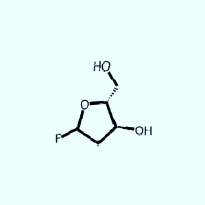 OC[C@H]1OC(F)[CH][C@@H]1O